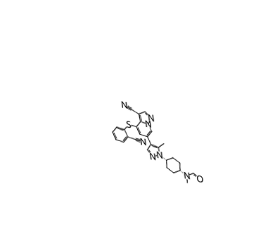 Cc1c(-c2cc(Sc3ccccc3C#N)c3c(C#N)cnn3c2)cnn1[C@H]1CC[C@@H](N(C)C=O)CC1